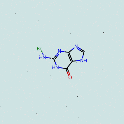 O=c1[nH]c(NBr)nc2nc[nH]c12